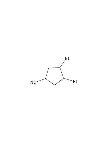 CCC1CC(C#N)CC1CC